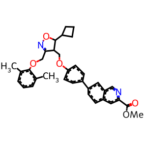 COC(=O)c1cc2ccc(-c3ccc(OCC4C(COc5c(C)cccc5C)=NOC4C4CCC4)cc3)cc2cn1